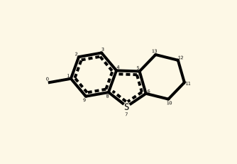 Cc1ccc2c3c(sc2c1)CCCC3